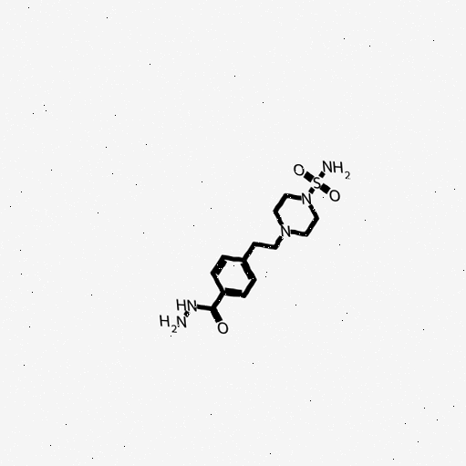 NNC(=O)c1ccc(CCN2CCN(S(N)(=O)=O)CC2)cc1